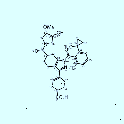 CO[C@H]1CN(C(=O)C2CCc3c(C4=CCC(C(=O)O)CC4)nn(C(=O)c4c(Cl)cccc4C4(C(F)(F)F)CC4)c3C2)C[C@@H]1O